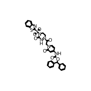 O=C(Nc1ccn(CC(=O)N2CCN(S(=O)(=O)c3nc4ccccc4s3)C(=O)N2)c(=O)c1)OC(c1ccccc1)c1ccccc1